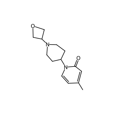 Cc1ccn(C2CCN(C3COC3)CC2)c(=O)c1